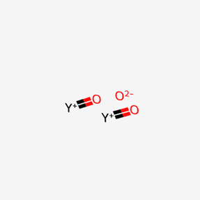 [O-2].[O]=[Y+].[O]=[Y+]